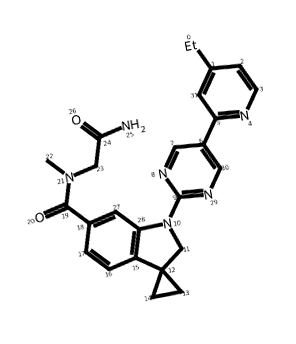 CCc1ccnc(-c2cnc(N3CC4(CC4)c4ccc(C(=O)N(C)CC(N)=O)cc43)nc2)c1